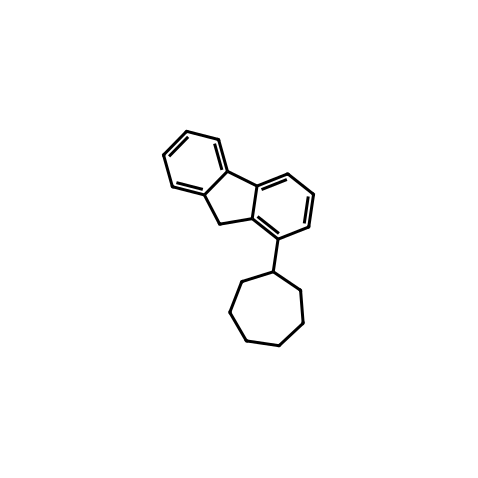 c1ccc2c(c1)Cc1c-2cccc1C1CCCCCC1